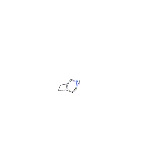 c1cc2c(cn1)CC2